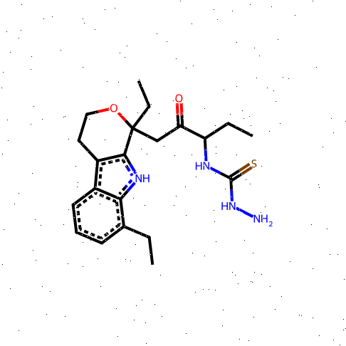 CCc1cccc2c3c([nH]c12)C(CC)(CC(=O)C(CC)NC(=S)NN)OCC3